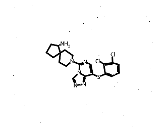 N[C@@H]1CCCC12CCN(c1ncc(Sc3cccc(Cl)c3Cl)c3nncn13)CC2